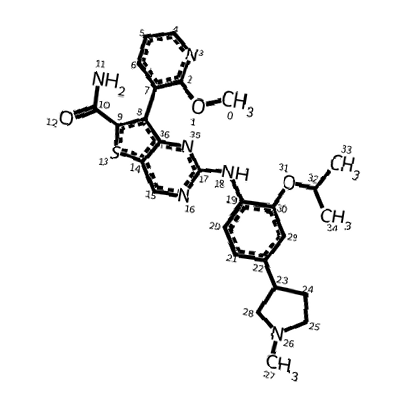 COc1ncccc1-c1c(C(N)=O)sc2cnc(Nc3ccc(C4CCN(C)C4)cc3OC(C)C)nc12